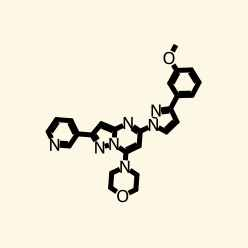 COc1cccc(-c2ccn(-c3cc(N4CCOCC4)n4nc(-c5cccnc5)cc4n3)n2)c1